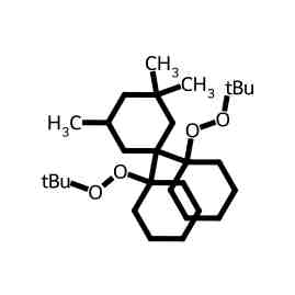 CC1CC(C)(C)CC(C2(OOC(C)(C)C)CCCCC2)(C2(OOC(C)(C)C)CCCCC2)C1